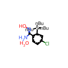 CCC[CH2][Sn]([CH2]CCC)([CH2]CCC)[c]1cc(Cl)ccc1C(N)=NO.O